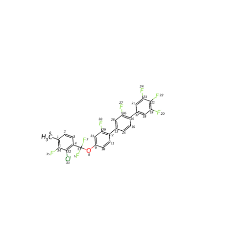 Cc1ccc(C(F)(F)Oc2ccc(-c3ccc(-c4cc(F)c(F)c(F)c4)c(F)c3)c(F)c2)c(Cl)c1F